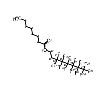 CCCCCCCC(=O)OCCC(F)(F)C(F)(F)C(F)(F)C(F)(F)C(F)(F)C(F)(F)F